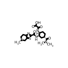 CN1CCc2nc(C(=O)N[C@@H]3C[C@@H](C(=O)N(C)C)CC[C@@H]3NC(=O)C(=O)O)sc2C1